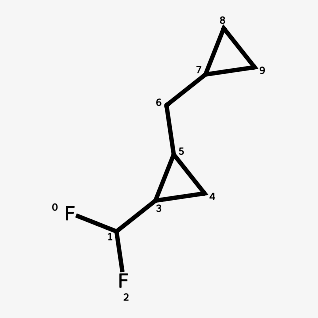 FC(F)C1CC1CC1CC1